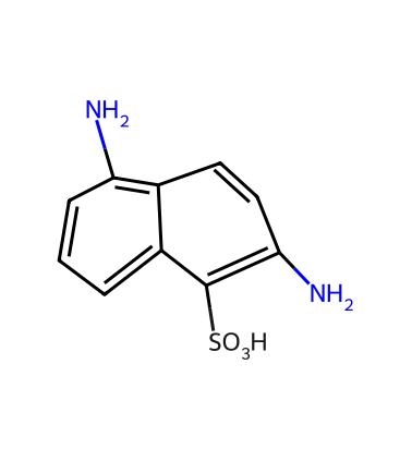 Nc1ccc2c(N)cccc2c1S(=O)(=O)O